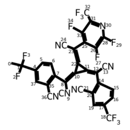 CC(F)(F)c1ccc(/C(C#N)=C2/C(=C(C#N)c3ccc(C(F)(F)F)cc3C#N)/C2=C(/C#N)c2c(F)c(F)nc(C(F)(F)F)c2F)c(C#N)c1